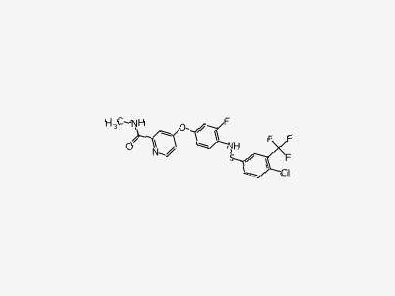 CNC(=O)c1cc(Oc2ccc(NSc3ccc(Cl)c(C(F)(F)F)c3)c(F)c2)ccn1